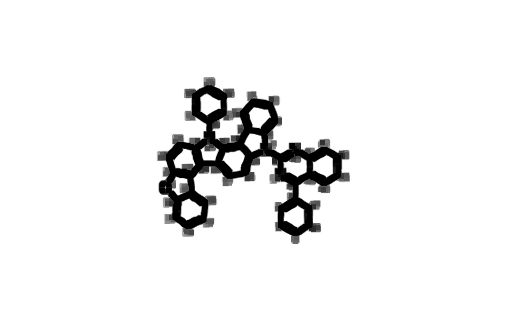 c1ccc(-c2nc(-n3c4ccccc4c4c3ccc3c5c6c(ccc5n(-c5ccccc5)c34)oc3ccccc36)nc3ccccc23)cc1